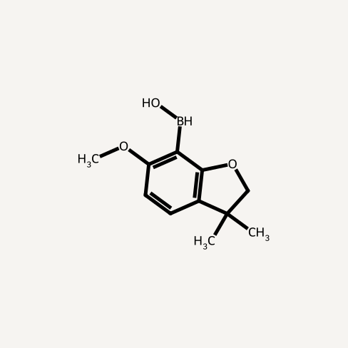 COc1ccc2c(c1BO)OCC2(C)C